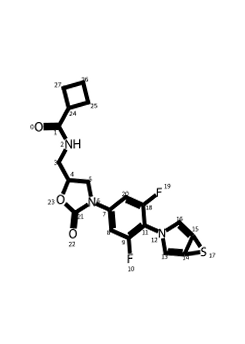 O=C(NCC1CN(c2cc(F)c(-n3cc4c(c3)S4)c(F)c2)C(=O)O1)C1CCC1